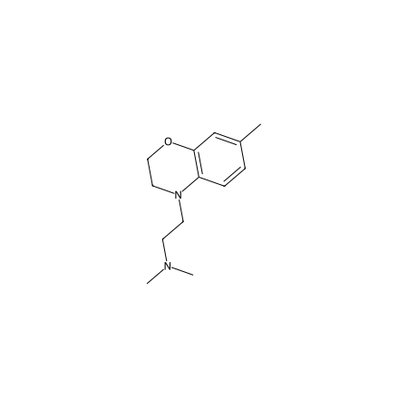 Cc1ccc2c(c1)OCCN2CCN(C)C